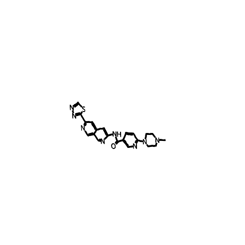 CN1CCN(c2ccc(C(=O)Nc3cc4cc(-c5nncs5)ncc4cn3)cn2)CC1